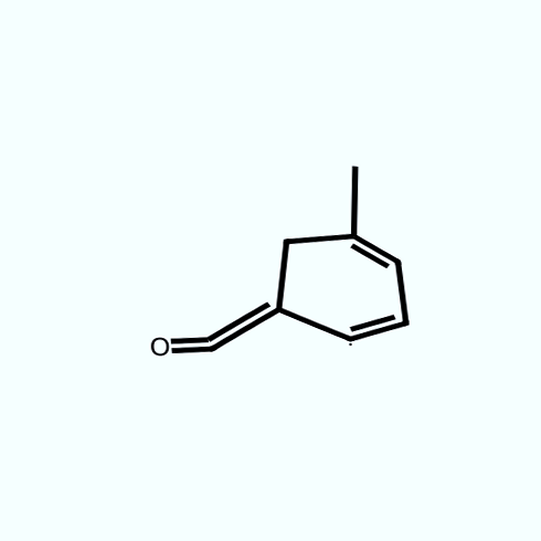 CC1=CC=[C]C(=C=O)C1